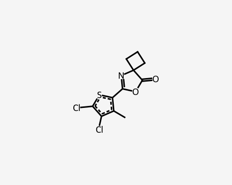 Cc1c(C2=NC3(CCC3)C(=O)O2)sc(Cl)c1Cl